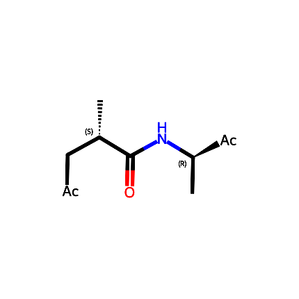 CC(=O)C[C@H](C)C(=O)N[C@H](C)C(C)=O